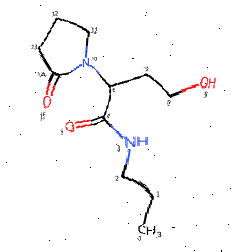 CCCNC(=O)C(CCO)N1CCCC1=O